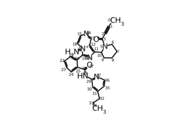 CC#CC(=O)N1CCCCC1C1=C2C=NC=C[N+]2(N)C(c2ccccc2C(=O)Nc2cc(CCC)ccn2)=N1